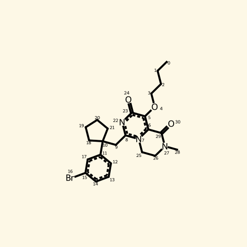 CCCCOc1c2n(c(CC3(c4cccc(Br)c4)CCCC3)nc1=O)CCN(C)C2=O